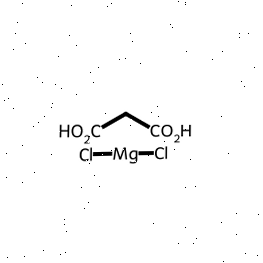 O=C(O)CC(=O)O.[Cl][Mg][Cl]